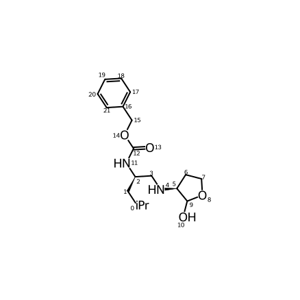 CC(C)C[C@H](CN[C@H]1CCOC1O)NC(=O)OCc1ccccc1